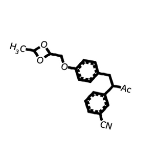 CC(=O)C(Cc1ccc(OCC2OC(C)O2)cc1)c1cccc(C#N)c1